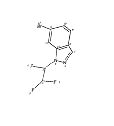 FC(F)C(F)n1ncc2ccc(Br)cc21